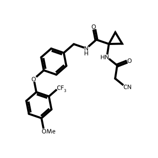 COc1ccc(Oc2ccc(CNC(=O)C3(NC(=O)CC#N)CC3)cc2)c(C(F)(F)F)c1